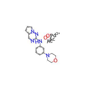 CC(=O)[O-].CC(=O)[O-].[Pd+2].c1cc(Nc2ncc3cccn3n2)cc(N2CCOCC2)c1